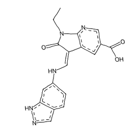 CCN1C(=O)C(=CNc2ccc3cn[nH]c3c2)c2cc(C(=O)O)cnc21